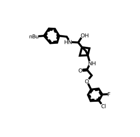 CCCCc1ccc(CNC(O)C23CC(NC(=O)COc4ccc(Cl)c(F)c4)(C2)C3)cc1